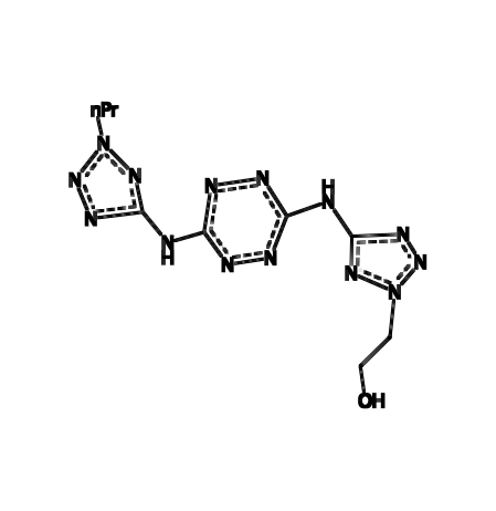 CCCn1nnc(Nc2nnc(Nc3nnn(CCO)n3)nn2)n1